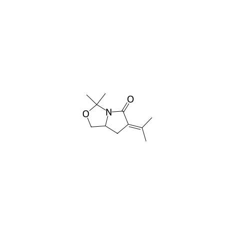 CC(C)=C1CC2COC(C)(C)N2C1=O